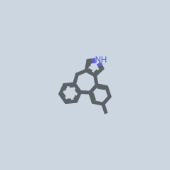 CC1C=C2C(=CC1)c1c[nH]cc1Cc1ccccc12